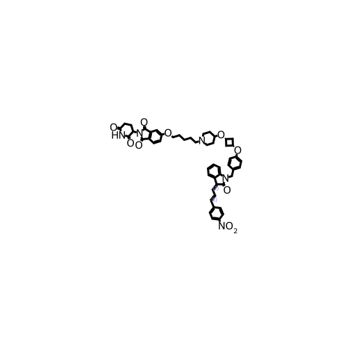 O=C1CCC(N2C(=O)c3ccc(OCCCCCN4CCC(O[C@H]5C[C@H](Oc6ccc(CN7C(=O)/C(=C\C=C\c8ccc([N+](=O)[O-])cc8)c8ccccc87)cc6)C5)CC4)cc3C2=O)C(=O)N1